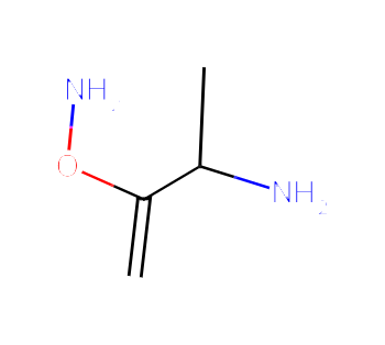 C=C(ON)C(C)N